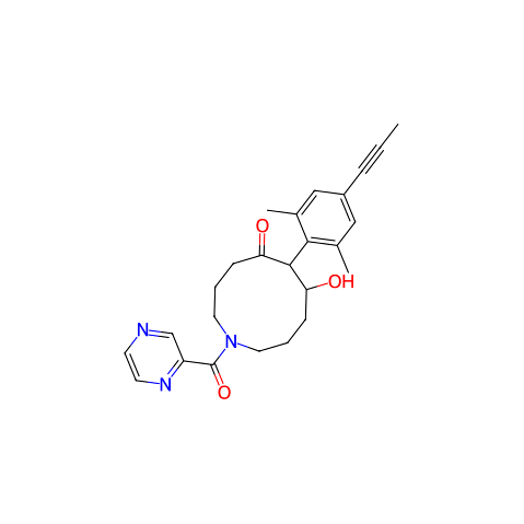 CC#Cc1cc(C)c(C2C(=O)CCCN(C(=O)c3cnccn3)CCCC2O)c(C)c1